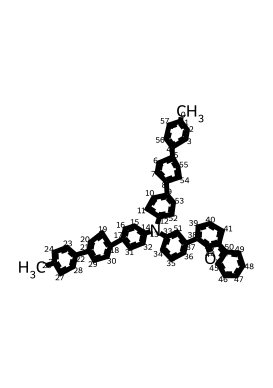 Cc1ccc(-c2ccc(-c3ccc(N(c4ccc(-c5ccc(-c6ccc(C)cc6)cc5)cc4)c4cccc(-c5cccc6c5oc5ccccc56)c4)cc3)cc2)cc1